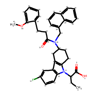 CCC(C(=O)O)n1c2c(c3cc(F)ccc31)CC(N(Cc1cccc3ccccc13)C(=O)CCc1ccccc1OC)CC2